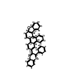 c1ccc(-c2nc3ccccc3nc2-c2ccc3c(c2)c2ccccc2c2c3ccc3oc4ccccc4c32)cc1